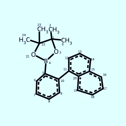 CC1(C)OB(c2ccccc2-c2cccc3ccccc23)OC1(C)C